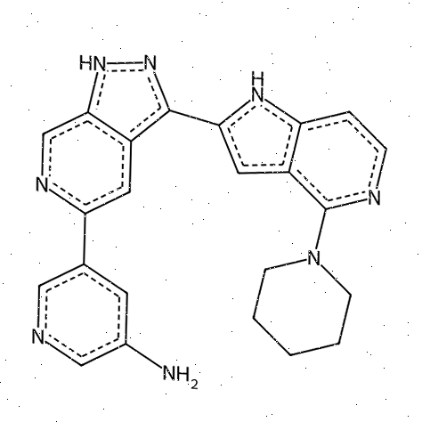 Nc1cncc(-c2cc3c(-c4cc5c(N6CCCCC6)nccc5[nH]4)n[nH]c3cn2)c1